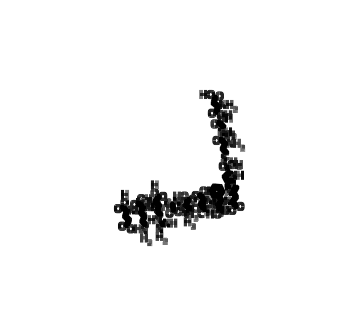 CC(C)C[C@H](N)C(=O)O.CC(C)[C@H](N)C(=O)O.CSCC[C@H](N)C(=O)O.C[C@H](N)C(=O)O.N=C(N)NCCC[C@H](N)C(=O)O.NCC(=O)O.NCCCC[C@H](N)C(=O)O.N[C@@H](CC(=O)O)C(=O)O.N[C@@H](CCC(=O)O)C(=O)O.N[C@@H](Cc1c[nH]cn1)C(=O)O.N[C@@H](Cc1ccccc1)C(=O)O.O=C(O)[C@@H]1CCCN1